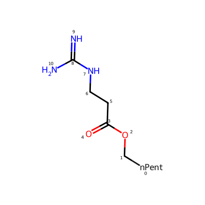 CCCCCCOC(=O)CCNC(=N)N